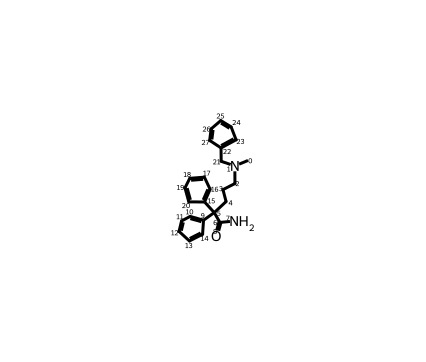 CN(CCCC(C(N)=O)(c1ccccc1)c1ccccc1)Cc1ccccc1